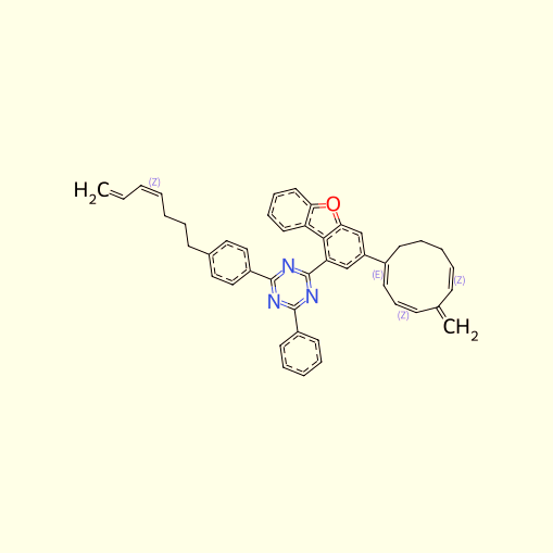 C=C/C=C\CCCc1ccc(-c2nc(-c3ccccc3)nc(-c3cc(/C4=C/C=C\C(=C)/C=C\CCC4)cc4oc5ccccc5c34)n2)cc1